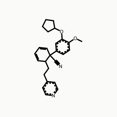 COc1ccc(C2(C#N)C=CC=CC2CCc2ccncc2)cc1OC1CCCC1